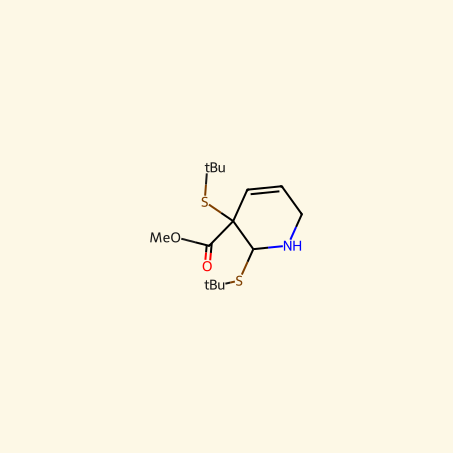 COC(=O)C1(SC(C)(C)C)C=CCNC1SC(C)(C)C